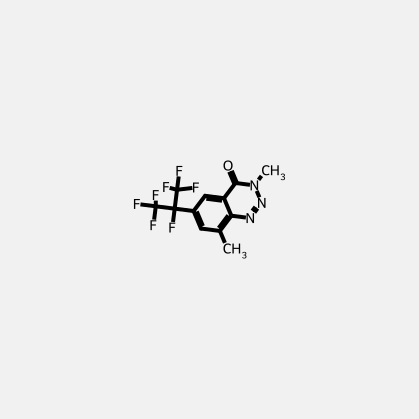 Cc1cc(C(F)(C(F)(F)F)C(F)(F)F)cc2c(=O)n(C)nnc12